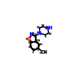 N#Cc1ccc2onc(N3CCNCC3)c2c1